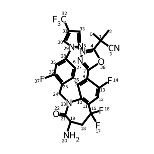 CC(C)(C#N)c1nnc(-c2cc3c(cc2F)C(F)(F)CC(N)C(=O)N3Cc2ccc(-n3cc(C(F)(F)F)cn3)cc2F)o1